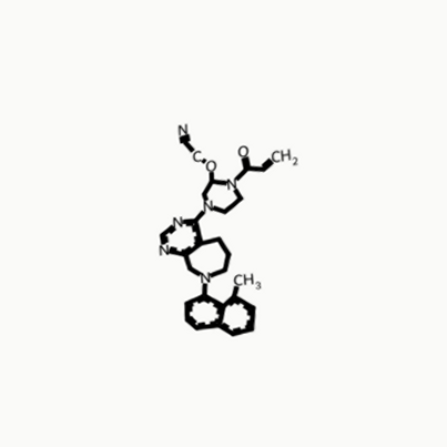 C=CC(=O)N1CCN(c2ncnc3c2CCCN(c2cccc4cccc(C)c24)C3)CC1OCC#N